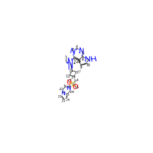 CN(c1ncnc2[nH]ccc12)[C@H]1C[C@@H](CS(=O)(=O)N2CCn3cccc3C2)C1